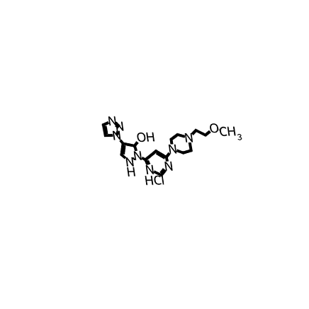 COCCN1CCN(c2cc(N3NC=C(n4ccnn4)C3O)ncn2)CC1.Cl